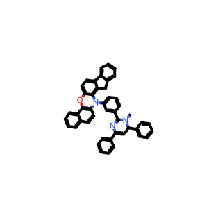 CN1C(c2cccc(N3c4ccc5ccccc5c4Oc4ccc5c(c43)Cc3ccccc3-5)c2)=NC(c2ccccc2)=CC1c1ccccc1